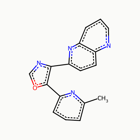 Cc1cccc(-c2ocnc2-c2ccc3ncccc3n2)n1